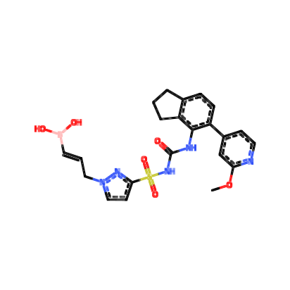 COc1cc(-c2ccc3c(c2NC(=O)NS(=O)(=O)c2ccn(CC=CB(O)O)n2)CCC3)ccn1